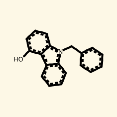 Oc1cccc2c1c1ccccc1n2Cc1ccccc1